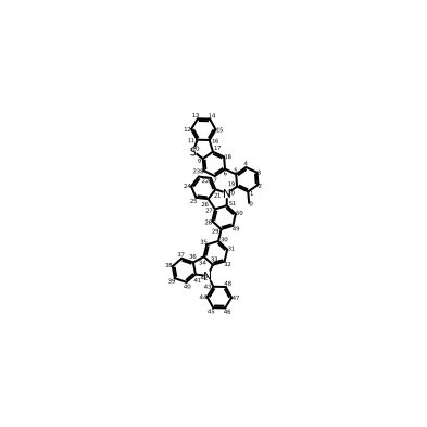 Cc1cccc(-c2ccc3sc4ccccc4c3c2)c1-n1c2ccccc2c2cc(-c3ccc4c(c3)c3ccccc3n4-c3ccccc3)ccc21